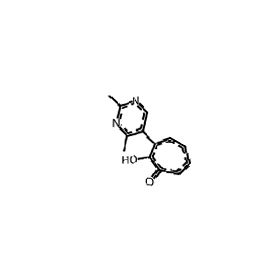 Cc1ncc(-c2ccccc(=O)c2O)c(C)n1